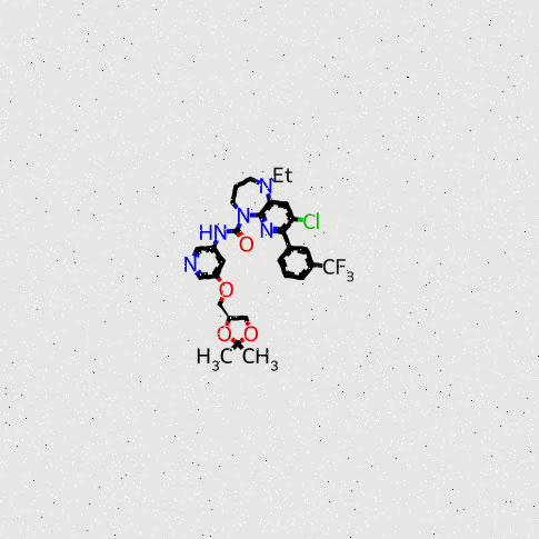 CCN1CCCN(C(=O)Nc2cncc(OC[C@H]3COC(C)(C)O3)c2)c2nc(-c3cccc(C(F)(F)F)c3)c(Cl)cc21